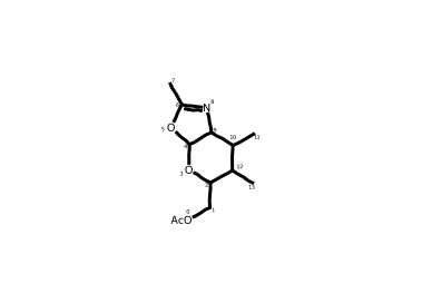 CC(=O)OCC1OC2OC(C)=NC2C(C)C1C